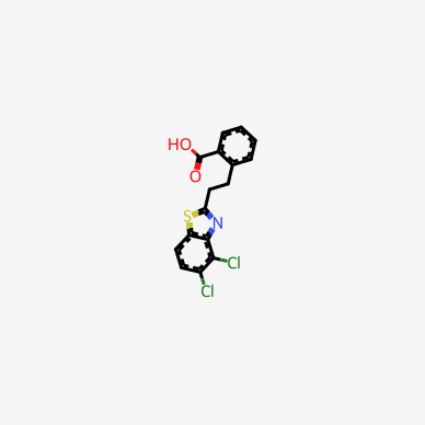 O=C(O)c1ccccc1CCc1nc2c(Cl)c(Cl)ccc2s1